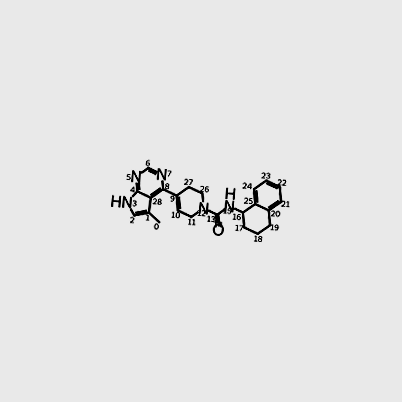 Cc1c[nH]c2ncnc(C3=CCN(C(=O)NC4CCCc5ccccc54)CC3)c12